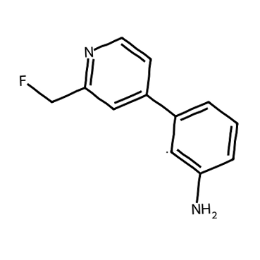 Nc1[c]c(-c2ccnc(CF)c2)ccc1